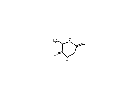 CC1NC(=O)[CH]NC1=O